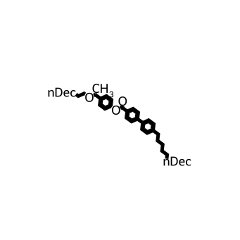 CCCCCCCCCCCCCCCc1ccc(-c2ccc(C(=O)Oc3ccc(C(C)OCCCCCCCCCCCC)cc3)cc2)cc1